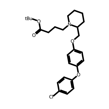 CC(C)(C)OC(=O)CCCN1CCCCC1COc1ccc(Oc2ccc(Cl)cc2)cc1